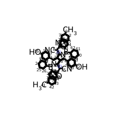 Cc1ccc2oc(/C(C#N)=c3/c4c(-c5ccc(O)cc5)n(B(c5ccccc5)c5ccccc5)/c(=C(/C#N)c5nc6cc(C)ccc6o5)c4c(-c4ccc(O)cc4)n3B(c3ccccc3)c3ccccc3)nc2c1